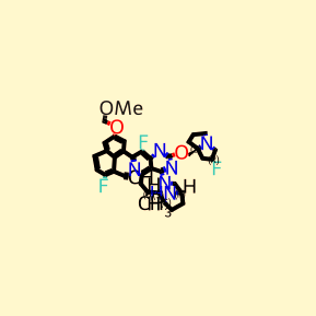 C#Cc1c(F)ccc2cc(OCOC)cc(-c3nc4c5c(nc(OC[C@@]67CCCN6C[C@H](F)C7)nc5c3F)N3C[C@H]5CC[C@H](N5)[C@@H]3[C@@H](C)C4)c12